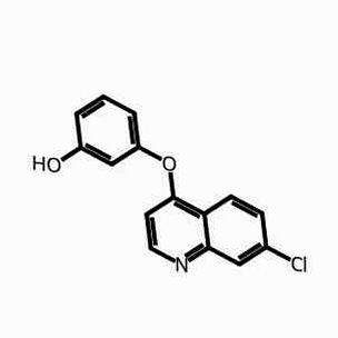 Oc1cccc(Oc2ccnc3cc(Cl)ccc23)c1